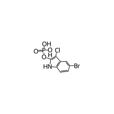 O=P(O)(O)Oc1[nH]c2ccc(Br)cc2c1Cl